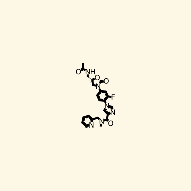 CC(=O)NC[C@H]1CN(c2ccc(-n3cnc(C(=O)N(C)Cc4ccccn4)c3)c(F)c2)C(=O)O1